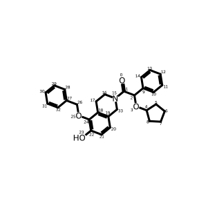 O=C(C(OC1CCCC1)c1ccccc1)N1CCc2c(ccc(O)c2OCc2ccccc2)C1